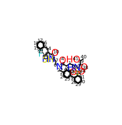 CCCC(=O)N(CCNC(=O)C(CS)Cc1ccccc1F)Cc1ccc(-c2ccccc2S(=O)(=O)NC(=O)C(C)O)cc1